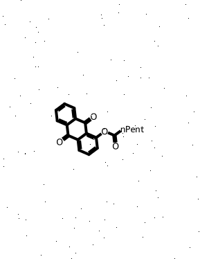 CCCCCC(=O)Oc1cccc2c1C(=O)c1ccccc1C2=O